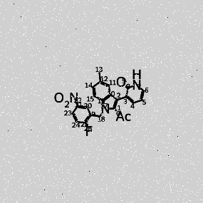 CC(=O)c1c(-c2ccc[nH]c2=O)c2cc(C)ccc2n1Cc1cc([N+](=O)[O-])ccc1F